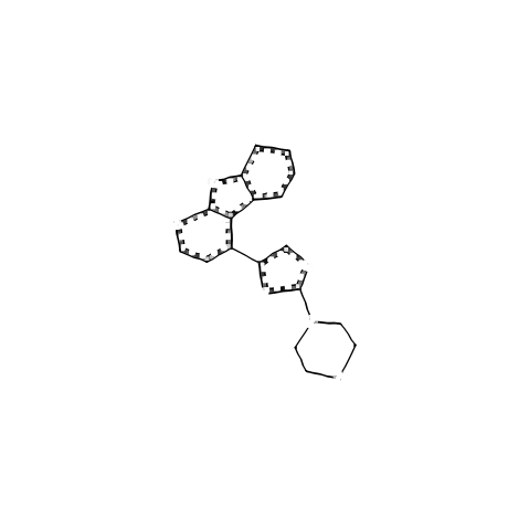 c1ccc2c(c1)[nH]c1nccc(-c3cnc(N4CCNCC4)s3)c12